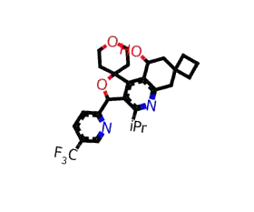 CC(C)c1nc2c(c3c1C(c1ccc(C(F)(F)F)cn1)OC31CCOCC1)C(O)CC1(CCC1)C2